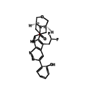 C=CC(=O)N1[C@@H]2COC[C@H]1CC(c1[nH]c3nnc(-c4ccccc4O)cc3c1CC(F)F)C2